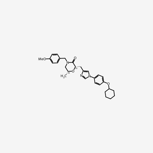 COc1ccc(CN2C[C@@H](C)O[C@@H](Cc3cn(-c4ccc(OC5CCCCC5)cc4)cn3)C2=O)cc1